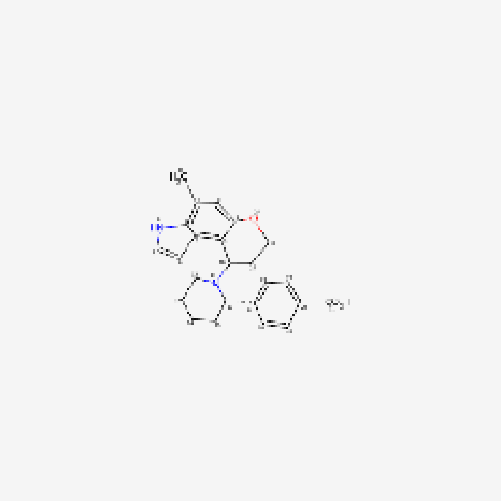 Cc1cc2c(c3cc[nH]c13)C(N1CCCC[C@H]1c1ccc(C(=O)O)cc1)CCO2